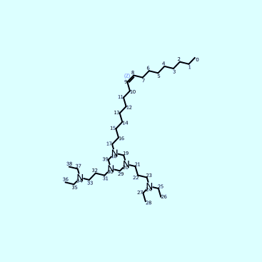 CCCCCCCC/C=C\CCCCCCCCN1CN(CCCN(CC)CC)CN(CCCN(CC)CC)C1